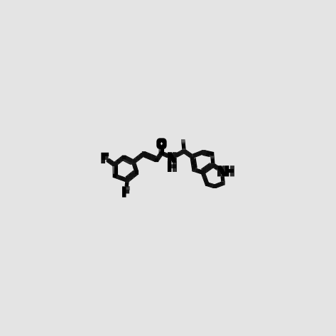 CC(NC(=O)C=Cc1cc(F)cc(F)c1)c1ccc2c(c1)CCCN2